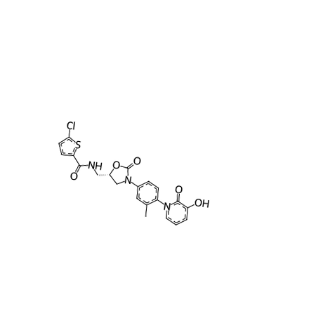 Cc1cc(N2C[C@H](CNC(=O)c3ccc(Cl)s3)OC2=O)ccc1-n1cccc(O)c1=O